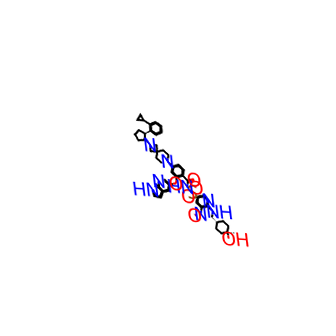 C[C@]1(O)CC[C@H](CNc2ncc(S(=O)(=O)NC(=O)c3ccc(N4CCC5(CC4)CN([C@H]4CCC[C@H]4c4ccccc4C4CC4)C5)cc3Oc3cnc4[nH]ccc4c3)cc2N=O)CC1